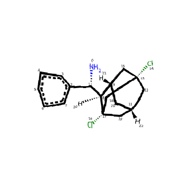 N[C@@H](c1ccccc1)[C@H]1[C@H]2C[C@@H]3C[C@](Cl)(C2)C[C@@]1(Cl)C3